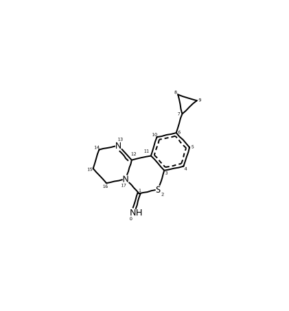 N=C1Sc2ccc(C3CC3)cc2C2=NCCCN12